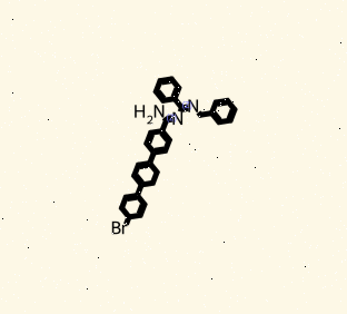 N/C(=N\C(=N/Cc1ccccc1)c1ccccc1)c1ccc(C2=CC=C(C3=CCC(Br)C=C3)CC2)cc1